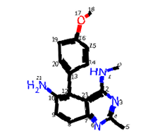 CNc1nc(C)nc2ccc(N)c(-c3ccc(OC)cc3)c12